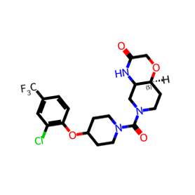 O=C1CO[C@H]2CCN(C(=O)N3CCC(Oc4ccc(C(F)(F)F)cc4Cl)CC3)CC2N1